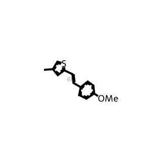 COc1ccc(/C=C/c2cc(C)cs2)cc1